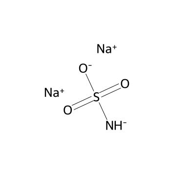 [NH-]S(=O)(=O)[O-].[Na+].[Na+]